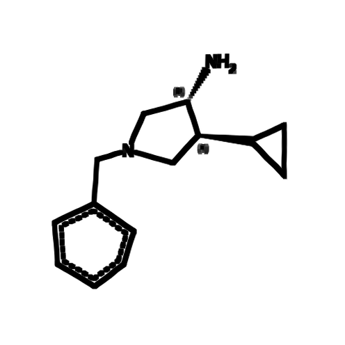 N[C@H]1CN(Cc2ccccc2)C[C@@H]1C1CC1